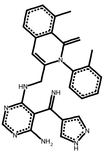 C=C1c2c(C)cccc2C=C(CNc2ncnc(N)c2C(=N)c2cn[nH]c2)N1c1ccccc1C